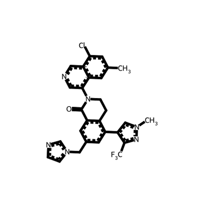 Cc1cc(Cl)c2cncc(N3CCc4c(cc(Cn5ccnc5)cc4-c4cn(C)nc4C(F)(F)F)C3=O)c2c1